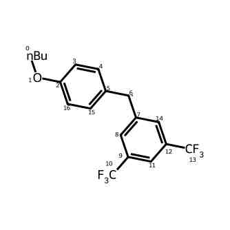 CCCCOc1ccc([CH]c2cc(C(F)(F)F)cc(C(F)(F)F)c2)cc1